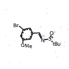 COc1cc(Br)cc(/C=N/[S@@+]([O-])C(C)(C)C)c1